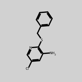 Nc1cc(Cl)cnc1SCc1ccccc1